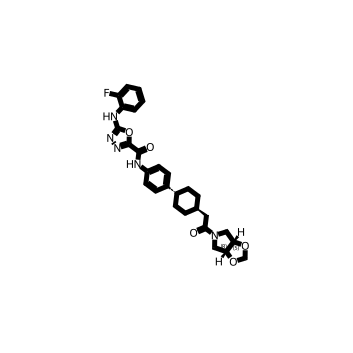 O=C(Nc1ccc([C@H]2CC[C@H](CC(=O)N3C[C@@H]4OCO[C@@H]4C3)CC2)cc1)c1nnc(Nc2ccccc2F)o1